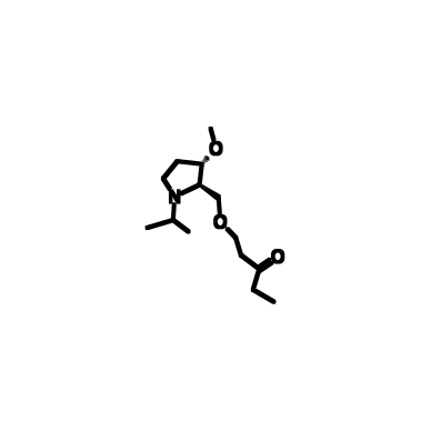 CCC(=O)CCOC[C@@H]1[C@@H](OC)CCN1C(C)C